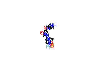 COc1cc(C(=O)N2CC[C@H]3NCC[C@H]32)cc2nc(-c3cc4ccc(N(C(F)F)S(C)(=O)=O)nc4n3CC3CC3)c(C)n12